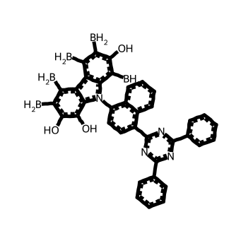 Bc1c(O)c(B)c2c(c1B)c1c(B)c(B)c(O)c(O)c1n2-c1ccc(-c2nc(-c3ccccc3)nc(-c3ccccc3)n2)c2ccccc12